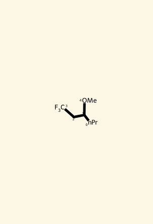 CCCC(CC(F)(F)F)OC